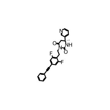 C[C@@]1(c2cccnc2)CC(=O)N(CCc2c(F)cc(C#Cc3ccccc3)cc2F)C(=O)N1